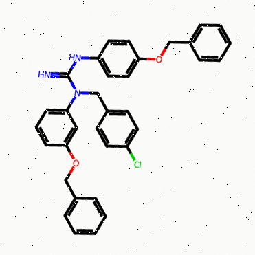 N=C(Nc1ccc(OCc2ccccc2)cc1)N(Cc1ccc(Cl)cc1)c1cccc(OCc2ccccc2)c1